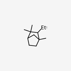 C[C]C1C2(C)CCC(C2)C1(C)C